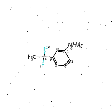 [CH2]C(=O)Nc1cccc(C(F)(F)C(F)(F)F)c1